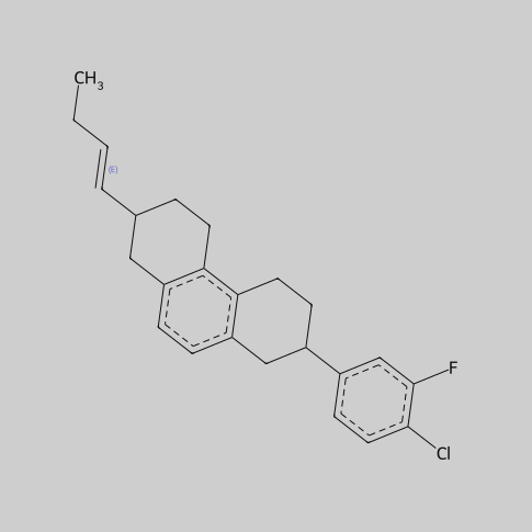 CC/C=C/C1CCc2c(ccc3c2CCC(c2ccc(Cl)c(F)c2)C3)C1